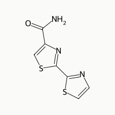 NC(=O)c1csc(-c2nccs2)n1